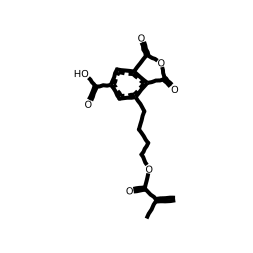 C=C(C)C(=O)OCCCCc1cc(C(=O)O)cc2c1C(=O)OC2=O